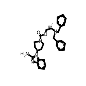 C[C@@H](COC(=O)N1CCC(n2c(N)nc3ccccc32)CC1)N(Cc1ccccc1)Cc1ccccc1